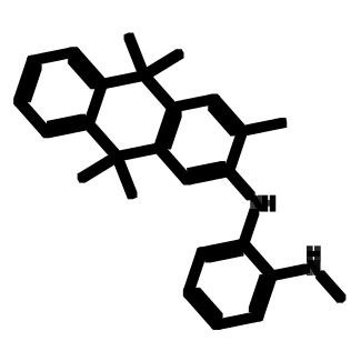 CNc1ccccc1Nc1cc2c(cc1C)C(C)(C)c1ccccc1C2(C)C